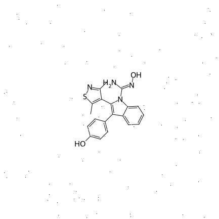 Cc1nsc(C)c1-c1c(-c2ccc(O)cc2)c2ccccc2n1/C(N)=N/O